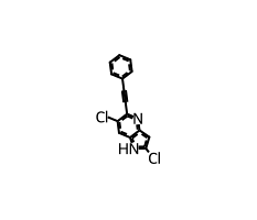 Clc1cc2nc(C#Cc3ccccc3)c(Cl)cc2[nH]1